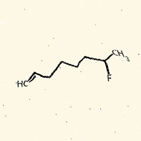 [CH]=CCCCCC(C)F